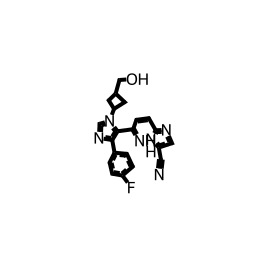 N#Cc1cnc(/C=C\C(=N)c2c(-c3ccc(F)cc3)ncn2C2CC(CO)C2)[nH]1